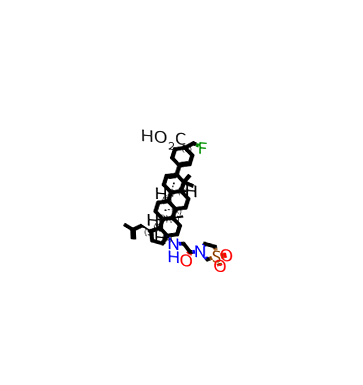 C=C(C)C[C@@H]1CC[C@]2(NCC(=O)N3CCS(=O)(=O)C3)CC[C@]3(C)[C@H](CC[C@@H]4[C@@]5(C)CC=C(C6=CC[C@](CF)(C(=O)O)CC6)C(C)(C)[C@@H]5CC[C@]43C)[C@@H]12